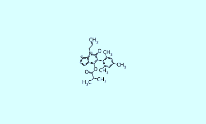 C=CCn1c(=O)c(-c2c(C)cc(C)cc2C)c(OC(=O)C(C)C)c2ccsc21